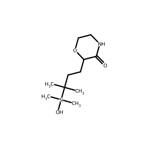 CC(C)(CCC1OCCNC1=O)[Si](C)(C)O